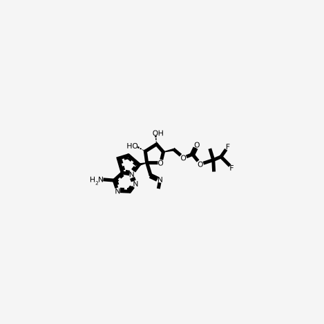 CN=C[C@@]1(c2ccc3c(N)ncnn23)O[C@H](COC(=O)OC(C)(C)C(F)F)[C@@H](O)[C@H]1O